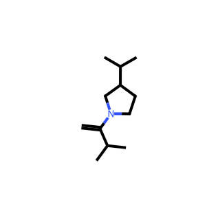 C=C(C(C)C)N1CCC(C(C)C)C1